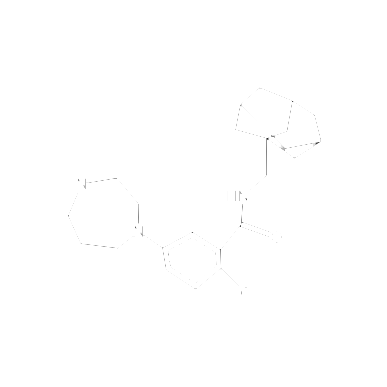 O=C(NCC12CC3CC(CC(C3)C1)C2)c1cc(N2CCCNCC2)ccc1Cl